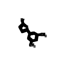 Cc1cc(C)cc(-c2ccc(Br)s2)c1